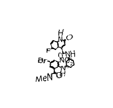 CNC(=O)c1cc(Br)cc([N+](=O)[O-])c1N[C@@H]1CCC[C@H](NC(=O)c2cc(=O)[nH]c3ccc(F)cc23)C1